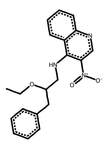 CCOC(CNc1c([N+](=O)[O-])cnc2ccccc12)Cc1ccccc1